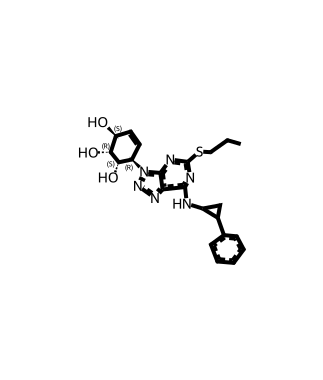 CCCSc1nc(NC2CC2c2ccccc2)c2nnn([C@@H]3C=C[C@H](O)[C@@H](O)[C@H]3O)c2n1